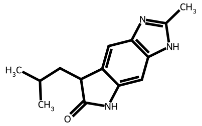 Cc1nc2cc3c(cc2[nH]1)NC(=O)C3CC(C)C